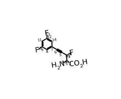 N[C@H](C(=O)O)[C@H](F)C#Cc1cc(F)cc(F)c1